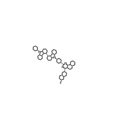 Fc1ccc2cc(-c3nc(-c4ccc(-n5c6ccccc6c6c(-c7cccc8c7c7ccccc7n8-c7ccccc7)cccc65)cc4)nc4c3ccc3ccccc34)ccc2c1